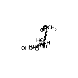 C=C1C=CC(=O)N1CCCCCC(O)N[C@@H](CC)C(=O)NCC(=O)NCC=O